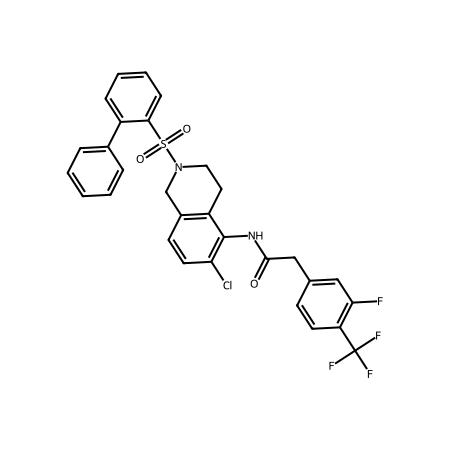 O=C(Cc1ccc(C(F)(F)F)c(F)c1)Nc1c(Cl)ccc2c1CCN(S(=O)(=O)c1ccccc1-c1ccccc1)C2